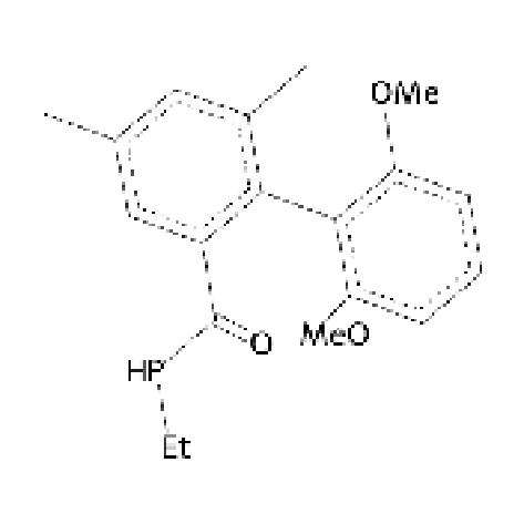 CCPC(=O)c1cc(C)cc(C)c1-c1c(OC)cccc1OC